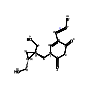 O=C1CC(=O)N(C[C@]2(CO)C[C@H]2CO)C=C1/C=C/Br